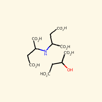 O=C(O)CC(NC(CC(=O)O)C(=O)O)C(=O)O.O=C(O)CC(O)C(=O)O